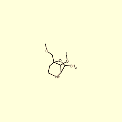 BC1OC2(COC)CCNC1C2OI